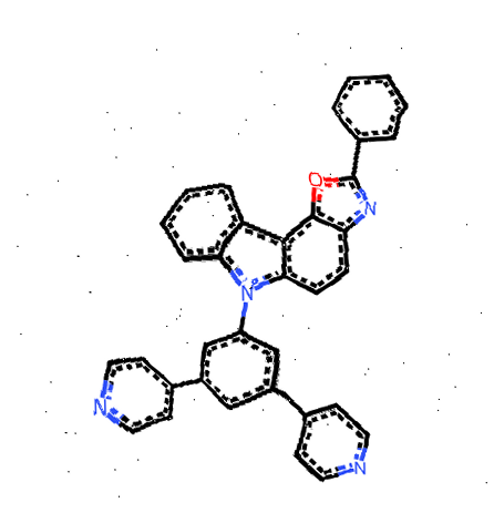 c1ccc(-c2nc3ccc4c(c5ccccc5n4-c4cc(-c5ccncc5)cc(-c5ccncc5)c4)c3o2)cc1